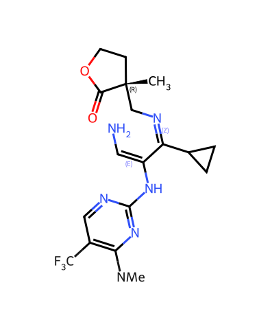 CNc1nc(NC(=C/N)/C(=N\C[C@@]2(C)CCOC2=O)C2CC2)ncc1C(F)(F)F